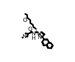 CCC(=O)CCCCC[C@@H](NC(=O)C1CN(C)C1)n1ccc(-c2ccc3ccccc3c2)n1